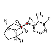 Cc1c(Cl)ncnc1OC1C[C@@H]2CC[C@@H](C1)N2S(=O)(=O)C1CC1